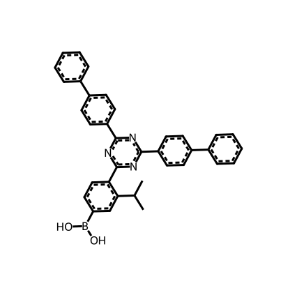 CC(C)c1cc(B(O)O)ccc1-c1nc(-c2ccc(-c3ccccc3)cc2)nc(-c2ccc(-c3ccccc3)cc2)n1